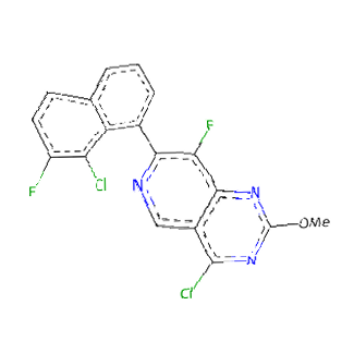 COc1nc(Cl)c2cnc(-c3cccc4ccc(F)c(Cl)c34)c(F)c2n1